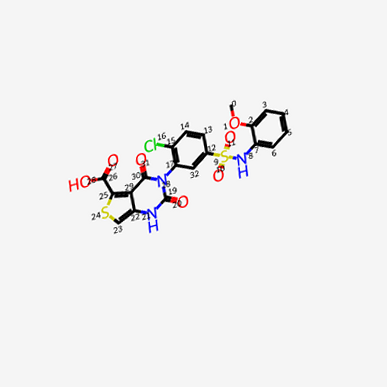 COc1ccccc1NS(=O)(=O)c1ccc(Cl)c(-n2c(=O)[nH]c3csc(C(=O)O)c3c2=O)c1